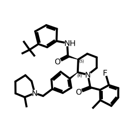 Cc1cccc(F)c1C(=O)N1CCC[C@H](C(=O)Nc2cccc(C(C)(C)C)c2)[C@@H]1c1ccc(CN2CCCCC2C)cc1